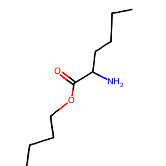 CCCCOC(=O)C(N)CCCC